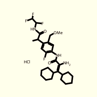 COCc1cc(NC(=O)C(N)=C(C2CCCCC2)C2CCCCC2)c(F)cc1C(C)C(=O)NC(F)C(F)F.Cl